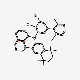 Cc1cccc(C)c1-c1cc(Br)c(Cl)c(N(c2ccccc2)c2cc3c(cc2-c2ccccc2)C(C)(C)CCC3(C)C)c1